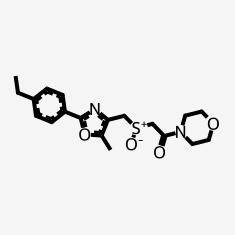 CCc1ccc(-c2nc(C[S+]([O-])CC(=O)N3CCOCC3)c(C)o2)cc1